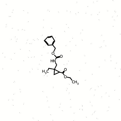 CCOC(=O)C1CC1(CC)CNC(=O)OCc1ccccc1